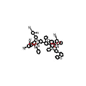 N#Cc1cc(C#N)cc(-c2cc(-c3ccc(-c4ccc(-n5c6ccc(-c7ccc(C#N)cc7C#N)cc6c6cc(-c7ccc(C#N)cc7C#N)ccc65)c(-c5nc(-c6ccccc6)nc(-c6ccccc6)n5)c4)c4c3oc3ccccc34)c3c4ccccc4n(-c4ccc(-c5cccc6oc7ccccc7c56)cc4-c4nc(-c5ccccc5)nc(-c5ccccc5)n4)c3c2)c1